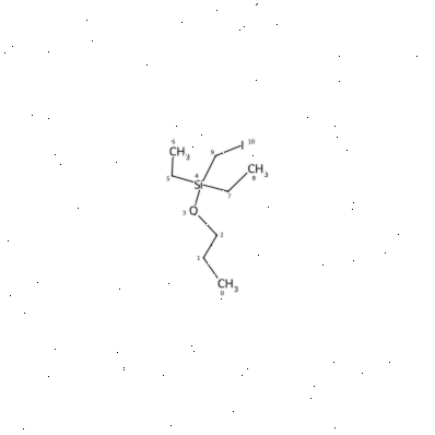 CCCO[Si](CC)(CC)CI